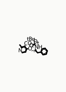 CCOC(=O)c1c(OC[C@@H](Cc2ccccc2)NC(=O)OC(C)(C)C)ccnc1C